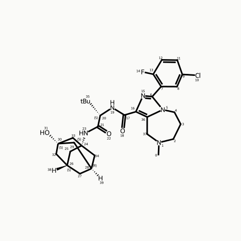 CN1CCCn2c(-c3cc(Cl)ccc3F)nc(C(=O)N[C@H](C(=O)N[C@]34C[C@@H]5C[C@@H](C[C@@](O)(C5)C3)C4)C(C)(C)C)c2C1